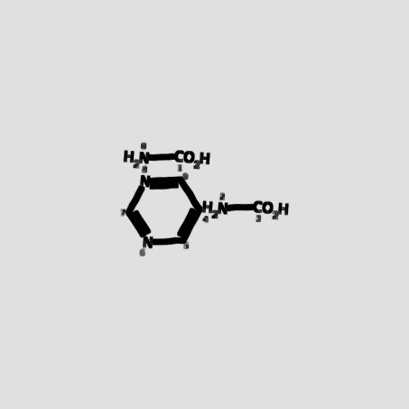 NC(=O)O.NC(=O)O.c1cncnc1